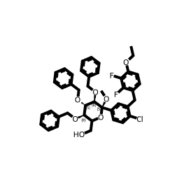 CCOc1ccc(Cc2cc([C@]3(OC)OC(CO)[C@@H](OCc4ccccc4)[C@H](OCc4ccccc4)[C@H]3OCc3ccccc3)ccc2Cl)c(F)c1F